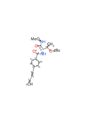 C#CC#Cc1ccc(C(=O)N[C@H](C(=O)NOC)[C@@H](C)OC(C)(C)C)cc1